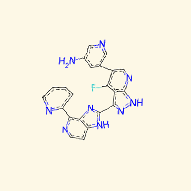 Nc1cncc(-c2cnc3[nH]nc(-c4nc5c(-c6ccccn6)nccc5[nH]4)c3c2F)c1